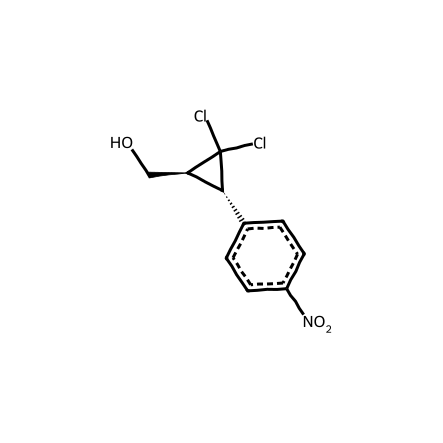 O=[N+]([O-])c1ccc([C@@H]2[C@@H](CO)C2(Cl)Cl)cc1